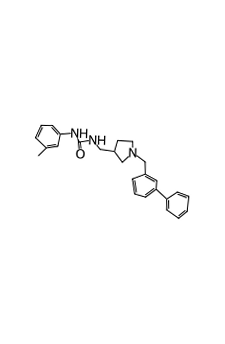 Cc1cccc(NC(=O)NCC2CCN(Cc3cccc(-c4ccccc4)c3)C2)c1